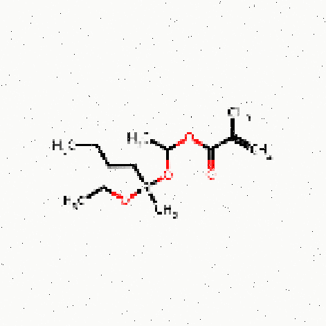 C=C(C)C(=O)OC(C)O[Si](C)(CCCC)OCC